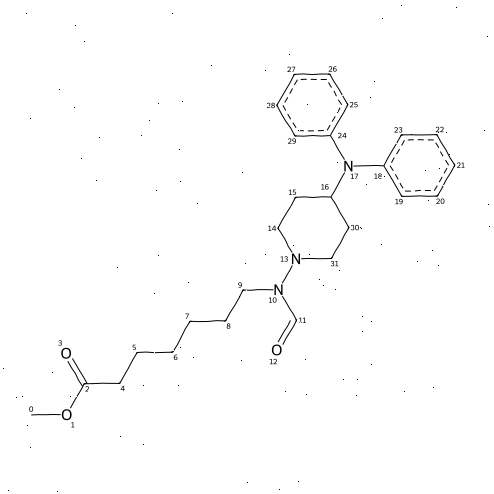 COC(=O)CCCCCCN(C=O)N1CCC(N(c2ccccc2)c2ccccc2)CC1